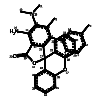 Cc1cccc(-c2c(C)c(N(C)C)c(N)c3c2C2(OC3=O)c3ccccc3Oc3ccccc32)c1